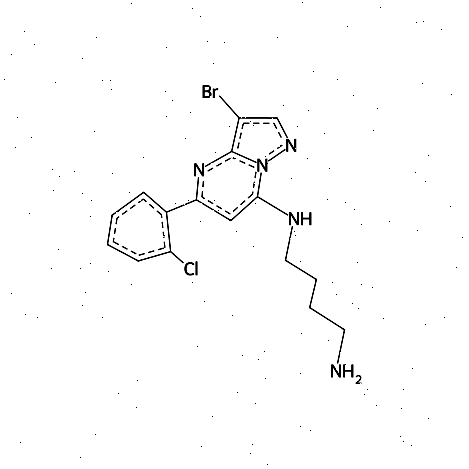 NCCCCNc1cc(-c2ccccc2Cl)nc2c(Br)cnn12